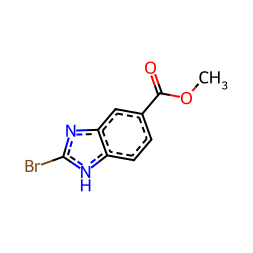 COC(=O)c1ccc2[nH]c(Br)nc2c1